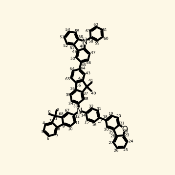 CC1(C)c2ccccc2-c2ccc(N(c3ccc(-c4ccc5oc6ccccc6c5c4)cc3)c3ccc4c(c3)C(C)(C)c3cc(-c5ccc6c(c5)c5ccccc5n6-c5ccccc5)ccc3-4)cc21